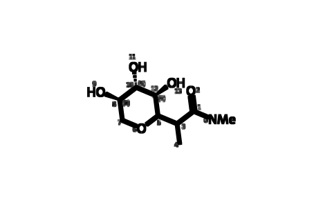 CNC(=O)C(C)C1OC[C@@H](O)[C@H](O)[C@H]1O